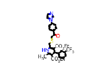 CCOC(=O)C1=C(C)NC(CSCC(=O)c2ccc(-n3ccnc3)cc2)=C(C(=O)OCC)C1c1cccc(C(F)(F)F)c1